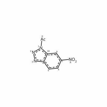 CC(=O)n1nnc2ccc([N+](=O)[O-])cc21